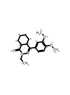 CCN1N=C(c2ccc(OC)c(OC)c2)C2CCCCC2C1=O